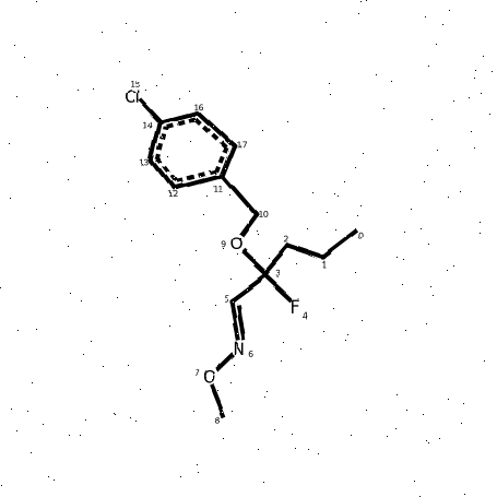 CCCC(F)(C=NOC)OCc1ccc(Cl)cc1